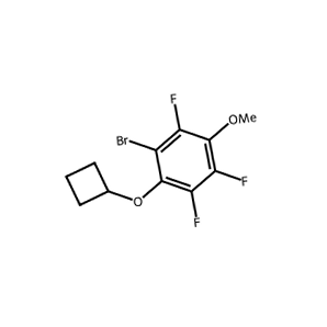 COc1c(F)c(F)c(OC2CCC2)c(Br)c1F